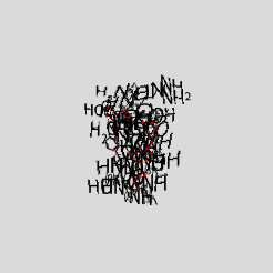 CC[C@H](C)[C@H](NC(=O)[C@H](CC(C)C)NC(=O)[C@H](Cc1c[nH]c2ccccc12)NC(=O)[C@H](C)NC(=O)[C@@H](NC(=O)[C@H](Cc1ccccc1)NC(=O)[C@H](CC(=O)O)NC(=O)[C@H](CCCNC(=N)N)NC(=O)[C@H](C)N)[C@@H](C)CC)C(=O)N[C@@H](C)C(=O)N[C@H](C(=O)N[C@@H](CCCCN)C(=O)N[C@H](C(=O)N[C@H](C(=O)N[C@@H](CC(=O)O)C(=O)O)[C@@H](C)O)[C@@H](C)CC)[C@@H](C)O